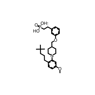 COc1ccc(CCCC(C)(C)C)c(N2CCC(COc3cccc([C@@H](C)CP(=O)(O)O)c3)CC2)c1